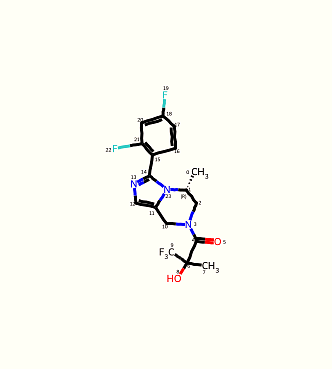 C[C@@H]1CN(C(=O)C(C)(O)C(F)(F)F)Cc2cnc(-c3ccc(F)cc3F)n21